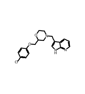 Clc1ccc(OCC2CN(Cc3c[nH]c4ncccc34)CCO2)cc1